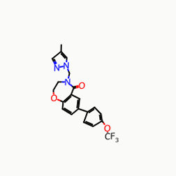 Cc1cnn(CN2CCOc3ccc(-c4ccc(OC(F)(F)F)cc4)cc3C2=O)c1